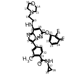 Cc1cc(-c2cnc3c(NCCN4CCOCC4)cc(Oc4cccc(F)c4F)nn23)ccc1C(=O)NC1CC1